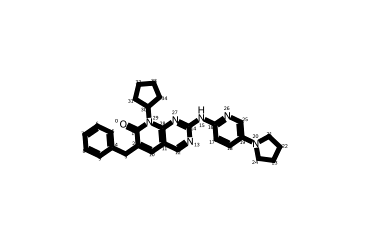 O=c1c(Cc2ccccc2)cc2cnc(Nc3ccc(N4CCCC4)cn3)nc2n1C1CCCC1